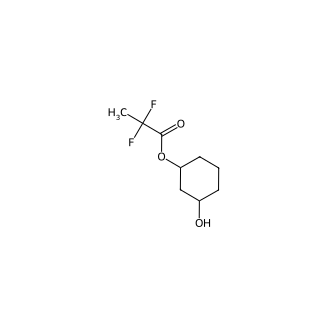 CC(F)(F)C(=O)OC1CCCC(O)C1